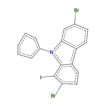 Brc1ccc2c3ccc(Br)c(I)c3n(-c3ccccc3)c2c1